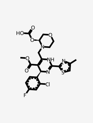 COC(=O)C1=C(CN2CCOC[C@@H]2OC(=O)O)NC(c2nc(C)cs2)=N[C@H]1c1ccc(F)cc1Cl